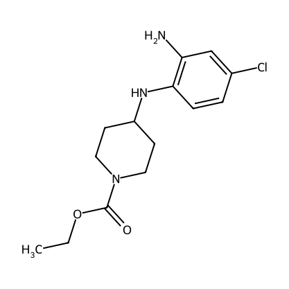 CCOC(=O)N1CCC(Nc2ccc(Cl)cc2N)CC1